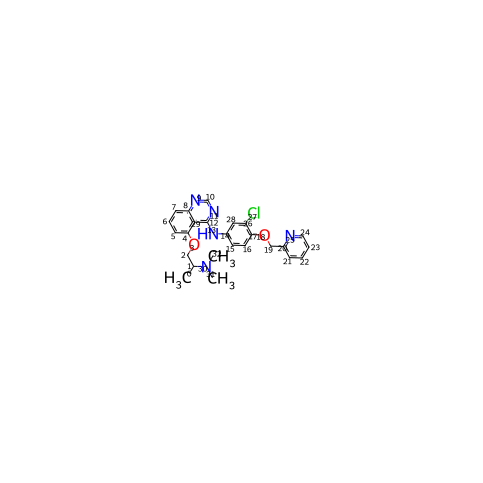 CC(COc1cccc2ncnc(Nc3ccc(OCc4ccccn4)c(Cl)c3)c12)N(C)C